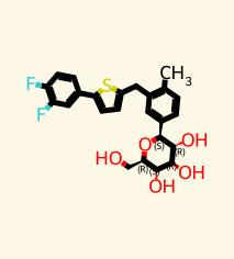 Cc1ccc([C@@H]2O[C@H](CO)[C@@H](O)[C@H](O)[C@H]2O)cc1Cc1ccc(-c2ccc(F)c(F)c2)s1